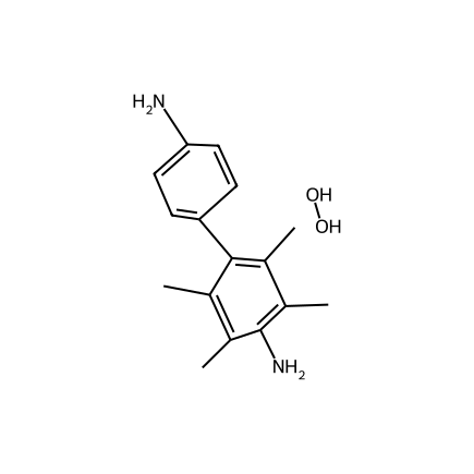 Cc1c(C)c(-c2ccc(N)cc2)c(C)c(C)c1N.OO